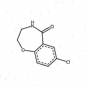 O=C1NCCOc2ccc(Cl)cc21